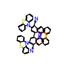 N#Cc1cc(N2c3ccccc3Sc3ccccc32)c(-c2cc(N3c4ccccc4Sc4ccccc43)c(C#N)cc2N2c3ccccc3Sc3ccccc32)cc1N1c2ccccc2Sc2ccccc21